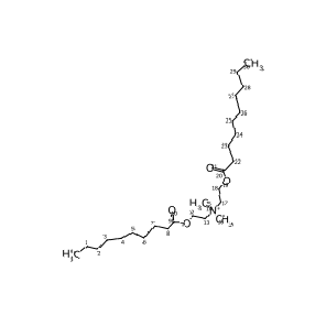 CCCCCCCCCC(=O)OCC[N+](C)(C)CCOC(=O)CCCCCCCCC